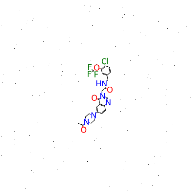 CC(=O)N1CCN(c2ccc3ncn(CC(=O)NCc4ccc(Cl)c(OC(F)(F)F)c4)c(=O)c3c2)CC1